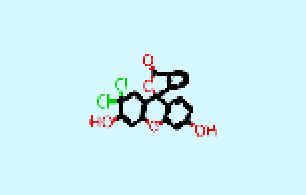 O=C1OC2(C3=C(C=C(O)C(Cl)(Cl)C3)Oc3cc(O)ccc32)c2ccccc21